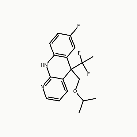 CC(C)OCC1(C(C)(F)F)c2cc(F)ccc2Nc2ncccc21